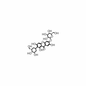 O=c1c2cc(O)c(O[C@@H]3O[C@H](CO)[C@@H](O)[C@H](O)[C@H]3O)cc2oc2cc(O)c(C3C[C@H](CO)[C@@H](O)[C@H](O)C3)c(O)c12